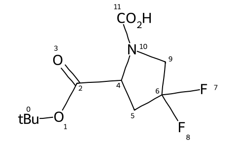 CC(C)(C)OC(=O)C1CC(F)(F)CN1C(=O)O